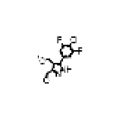 COCc1c(C=O)n[nH]c1-c1cc(F)c(Cl)c(F)c1